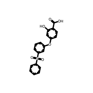 O=C(O)c1ccc(Oc2cccc(S(=O)(=O)c3ccccc3)c2)cc1O